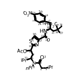 CCCN(C(=O)CC(C)C)C(CC(OC(C)=O)c1nc(C(=O)NC(Cc2ccc([N+](=O)[O-])cc2)CC(C)(C)C(=O)O)cs1)C(C)C